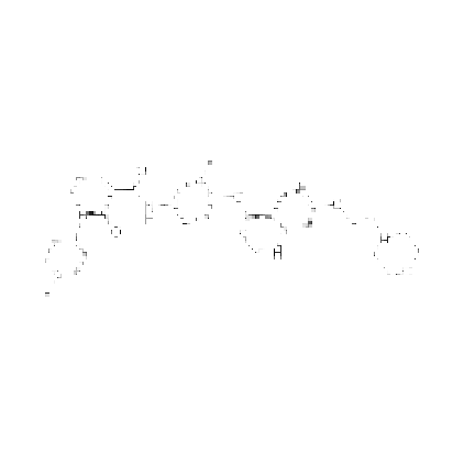 O=C(Nc1ccc(Oc2ccnc3cc(OCCN4CCOCC4)ncc23)c(F)c1)c1cccn(-c2ccc(F)cc2)c1=O